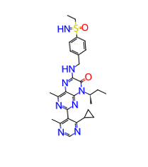 CC[C@@H](C)n1c(=O)c(NCc2ccc(S(=N)(=O)CC)cc2)nc2c(C)nc(-c3c(C)ncnc3C3CC3)nc21